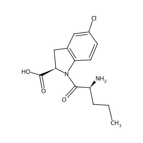 CCC[C@H](N)C(=O)N1c2ccc(Cl)cc2C[C@@H]1C(=O)O